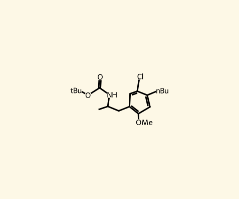 CCCCc1cc(OC)c(CC(C)NC(=O)OC(C)(C)C)cc1Cl